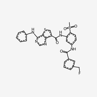 CS(=O)(=O)c1ccc(NC(=O)c2cccc(CF)c2)cc1NC(=O)c1csc2c(Nc3ccccc3)ncnc12